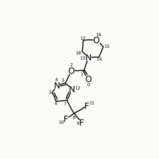 O=C(Oc1nccc(C(F)(F)F)n1)N1CCOCC1